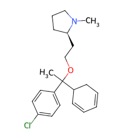 CN1CCC[C@@H]1CCOC(C)(c1ccc(Cl)cc1)C1C=CC=CC1